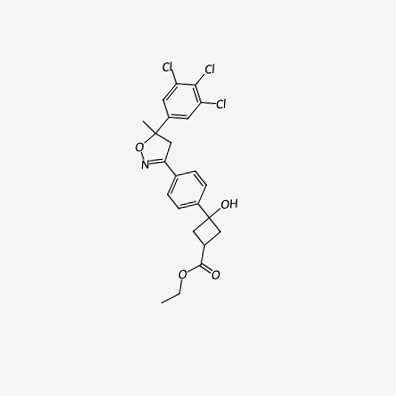 CCOC(=O)C1CC(O)(c2ccc(C3=NOC(C)(c4cc(Cl)c(Cl)c(Cl)c4)C3)cc2)C1